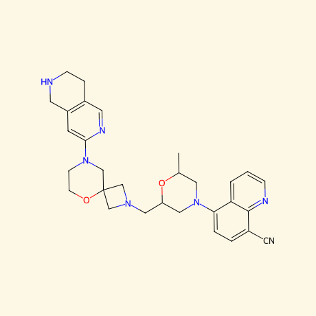 CC1CN(c2ccc(C#N)c3ncccc23)CC(CN2CC3(C2)CN(c2cc4c(cn2)CCNC4)CCO3)O1